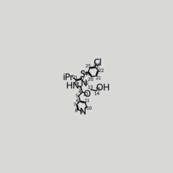 CC(C)c1[nH]c(C(Cc2ccncc2)OCCO)nc1Sc1cccc(Cl)c1